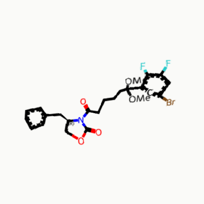 COC(CCCCC(=O)N1C(=O)OC[C@H]1Cc1ccccc1)(OC)c1cc(Br)cc(F)c1F